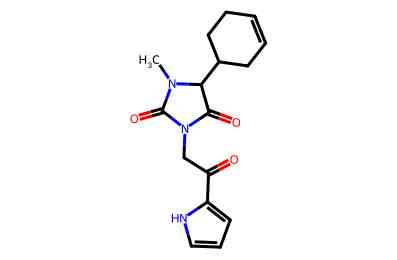 CN1C(=O)N(CC(=O)c2ccc[nH]2)C(=O)C1C1CC=CCC1